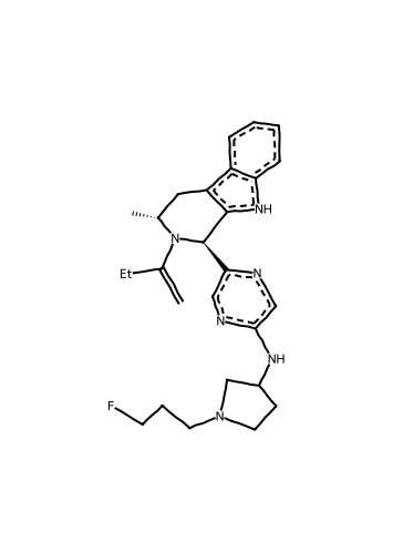 C=C(CC)N1[C@H](c2cnc(NC3CCN(CCCF)C3)cn2)c2[nH]c3ccccc3c2C[C@H]1C